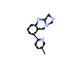 Cc1ccc(-c2cccc3nc4cncn4cc23)nc1